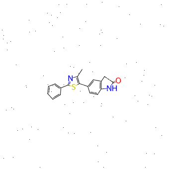 Cc1nc(-c2ccccc2)sc1-c1ccc2c(c1)CC(=O)N2